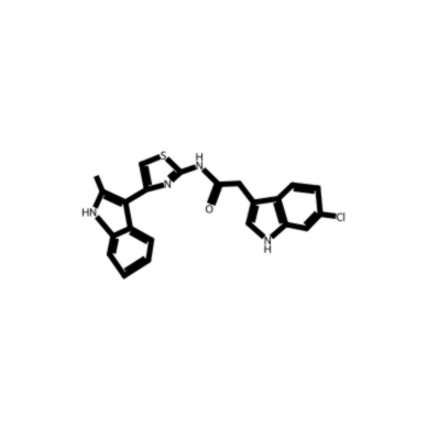 Cc1[nH]c2ccccc2c1-c1csc(NC(=O)Cc2c[nH]c3cc(Cl)ccc23)n1